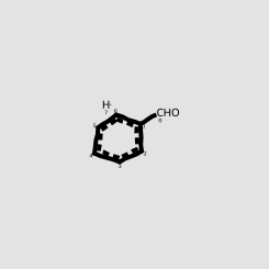 O=Cc1ccccc1.[H]